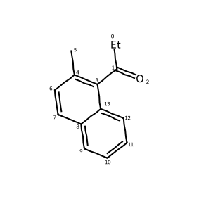 CCC(=O)c1c(C)ccc2ccccc12